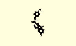 O=C(NCc1ccc(C(F)(F)F)cc1)N1CCc2c([nH]c3ccc(Cl)cc23)C1